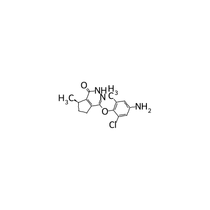 Cc1cc(N)cc(Cl)c1Oc1n[nH]c(=O)c2c1CC[C@H]2C